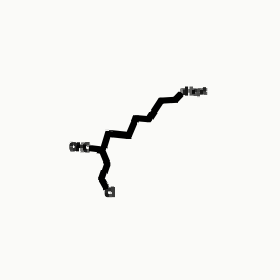 CCCCCCCCCCCCCC(C=O)CCCl